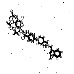 CC(=O)O[C@H]1[C@H](OC(C)=O)[C@H](ONC(=O)c2cnc(N3CCC(CNCc4cn(C)c5ccccc45)CC3)nc2)O[C@@H](C)[C@H]1OC(C)=O